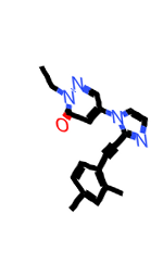 CCn1ncc(-n2ccnc2C#Cc2ccc(C)cc2C)cc1=O